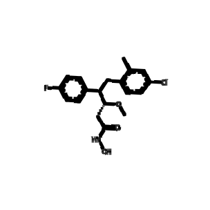 CO[C@H](CC(=O)NO)C(Cc1ccc(Cl)cc1C)c1ccc(F)cc1